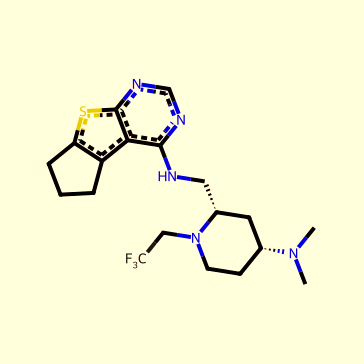 CN(C)[C@@H]1CCN(CC(F)(F)F)[C@H](CNc2ncnc3sc4c(c23)CCC4)C1